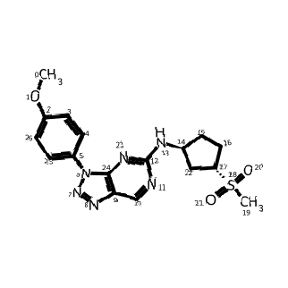 COc1ccc(-n2nnc3cnc(N[C@H]4CC[C@H](S(C)(=O)=O)C4)nc32)cc1